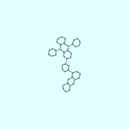 c1ccc(-c2c3ccccc3c(-c3ccccc3)c3cc(-c4cccc(-c5cccc6cc7ccccc7cc56)c4)ccc23)cc1